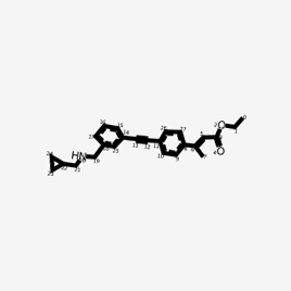 CCOC(=O)C=C(C)c1ccc(C#Cc2cccc(CNCC3CC3)c2)cc1